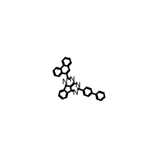 c1ccc(-c2ccc(-c3nc4c5c(nc(-c6cc7ccccc7c7ccccc67)nc5n3)-c3ccccc3-4)cc2)cc1